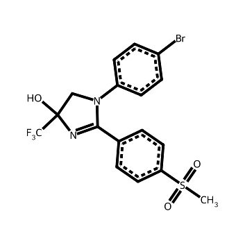 CS(=O)(=O)c1ccc(C2=NC(O)(C(F)(F)F)CN2c2ccc(Br)cc2)cc1